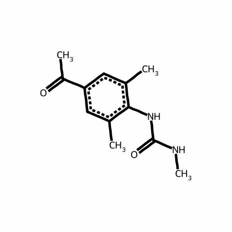 CNC(=O)Nc1c(C)cc(C(C)=O)cc1C